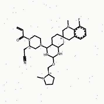 C=CC(=O)N1CCN(C2NC(OC[C@H]3CCCN3C)NC3C[C@@]4(CCC32)Cc2cccc(F)c2N(C)C4)C[C@H]1CC#N